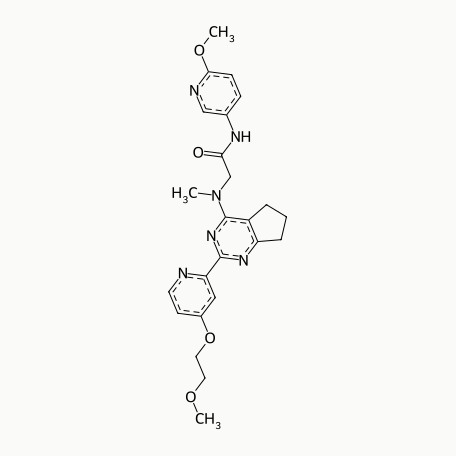 COCCOc1ccnc(-c2nc3c(c(N(C)CC(=O)Nc4ccc(OC)nc4)n2)CCC3)c1